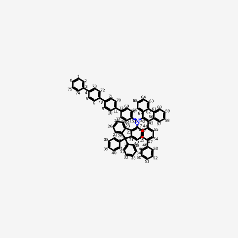 c1ccc(-c2ccc(-c3ccc(-c4ccc(N(c5cccc6c5-c5ccccc5C6(c5ccccc5)c5ccccc5)c5c(-c6ccc(-c7ccccc7)cc6)c6ccccc6c6ccccc56)cc4)cc3)cc2)cc1